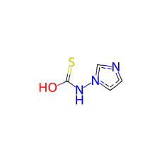 OC(=S)Nn1ccnc1